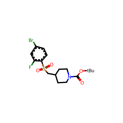 CC(C)(C)OC(=O)N1CCC(CS(=O)(=O)c2ccc(Br)cc2F)CC1